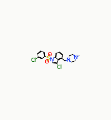 CN1CCN(Cc2cccc3c2c(Cl)cn3S(=O)(=O)c2cccc(Cl)c2)CC1